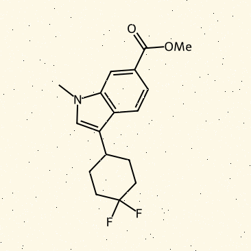 COC(=O)c1ccc2c(C3CCC(F)(F)CC3)cn(C)c2c1